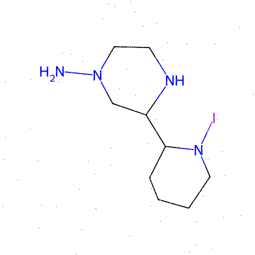 NN1CCNC(C2CCCCN2I)C1